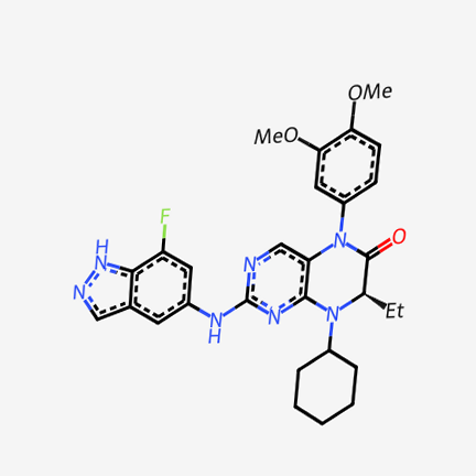 CC[C@@H]1C(=O)N(c2ccc(OC)c(OC)c2)c2cnc(Nc3cc(F)c4[nH]ncc4c3)nc2N1C1CCCCC1